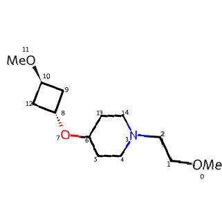 COCCN1CCC(O[C@H]2C[C@H](OC)C2)CC1